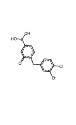 CCc1cc(Cn2ccc(B(O)O)cc2=O)ccc1Cl